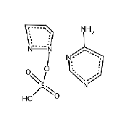 Nc1ccncn1.O=S(=O)(O)On1cccn1